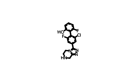 Oc1cccc(F)c1-c1c(F)cc(-c2nnc3n2CCNC3)cc1Cl